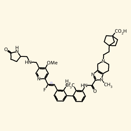 COc1cc(/C(F)=C/c2cccc(-c3cccc(NC(=O)c4nc5c(n4C)CCN(CCC46CCC(C(=O)O)(CC4)C6)C5)c3C)c2C)ncc1CNCC1CCC(=O)N1